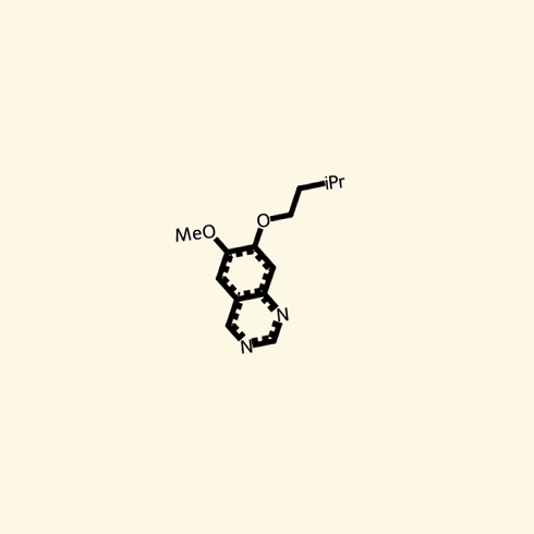 COc1cc2cncnc2cc1OCCC(C)C